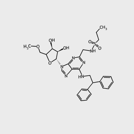 CCCS(=O)(=O)NCc1nc(NCC(c2ccccc2)c2ccccc2)c2ncn([C@@H]3OC(COC)[C@@H](O)[C@H]3O)c2n1